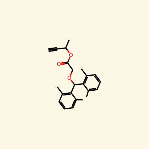 C#CC(C)OC(=O)COC(c1c(C)cccc1C)c1c(C)cccc1C